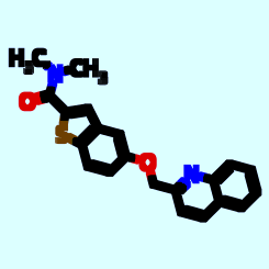 CN(C)C(=O)c1cc2cc(OCc3ccc4ccccc4n3)ccc2s1